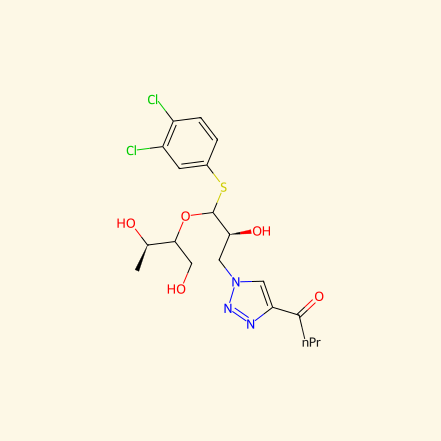 CCCC(=O)c1cn(C[C@H](O)C(OC(CO)[C@@H](C)O)Sc2ccc(Cl)c(Cl)c2)nn1